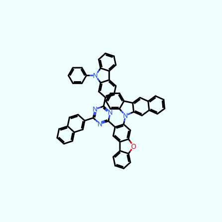 c1ccc(-n2c3ccccc3c3ccc(-c4nc(-c5ccc6ccccc6c5)nc(-c5cc6c(cc5-n5c7ccccc7c7cc8ccccc8cc75)oc5ccccc56)n4)cc32)cc1